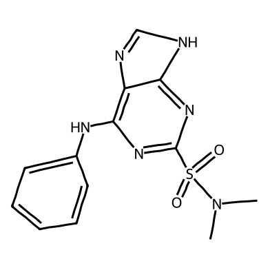 CN(C)S(=O)(=O)c1nc(Nc2ccccc2)c2nc[nH]c2n1